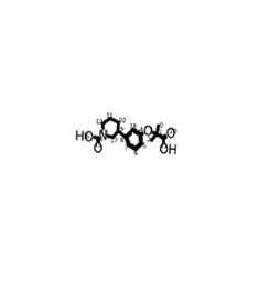 CC(C)(Oc1cccc(C2CCCN(C(=O)O)C2)c1)C(=O)O